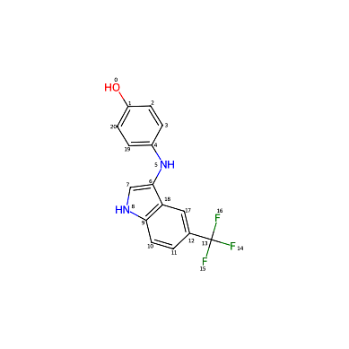 Oc1ccc(Nc2c[nH]c3ccc(C(F)(F)F)cc23)cc1